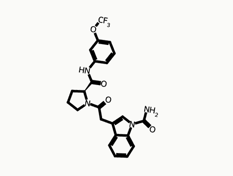 NC(=O)n1cc(CC(=O)N2CCC[C@H]2C(=O)Nc2cccc(OC(F)(F)F)c2)c2ccccc21